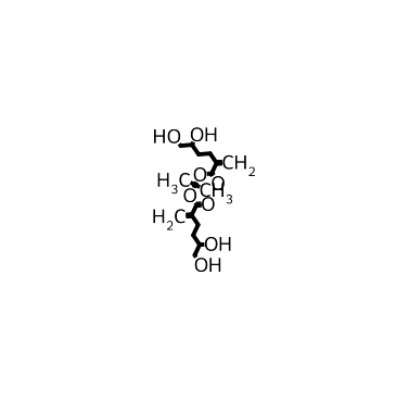 C=C(CCC(O)CO)C(=O)OC(C)(C)OC(=O)C(=C)CCC(O)CO